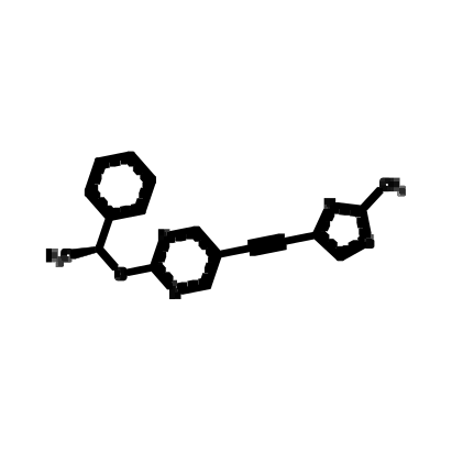 Cc1nc(C#Cc2cnc(O[C@@H](C)c3ccccc3)nc2)cs1